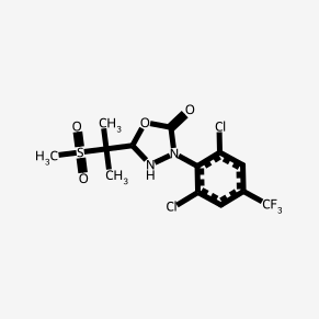 CC(C)(C1NN(c2c(Cl)cc(C(F)(F)F)cc2Cl)C(=O)O1)S(C)(=O)=O